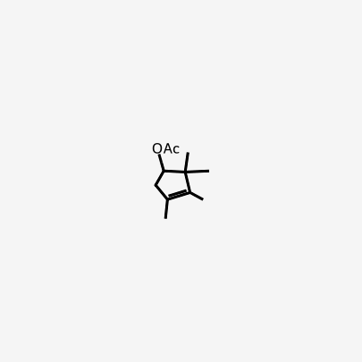 CC(=O)OC1CC(C)=C(C)C1(C)C